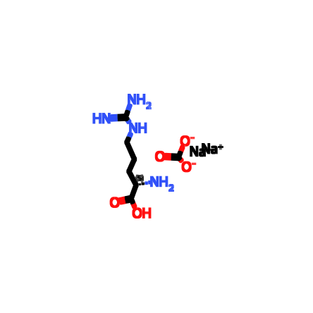 N=C(N)NCCC[C@H](N)C(=O)O.O=C([O-])[O-].[Na+].[Na+]